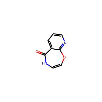 O=C1NC=COc2ncccc21